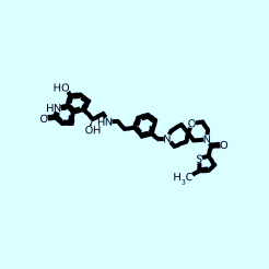 CC1=CCC(C(=O)N2CCOC3(CCN(Cc4cccc(CCNC[C@H](O)c5ccc(O)c6[nH]c(=O)ccc56)c4)CC3)C2)S1